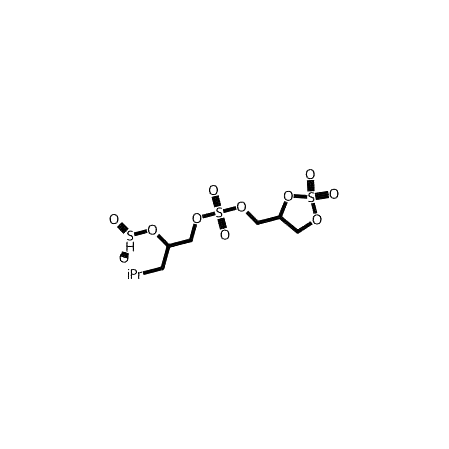 CC(C)CC(COS(=O)(=O)OCC1COS(=O)(=O)O1)O[SH](=O)=O